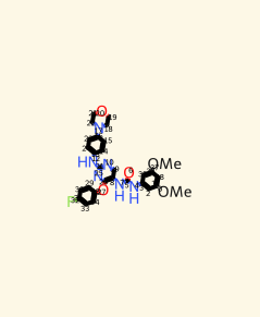 COc1cc(NC(=O)Nc2cnc(Nc3ccc(N4CCOCC4)cc3)nc2Oc2ccc(F)cc2)cc(OC)c1